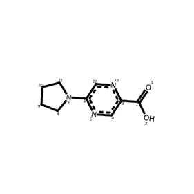 O=C(O)c1cnc(N2CCCC2)cn1